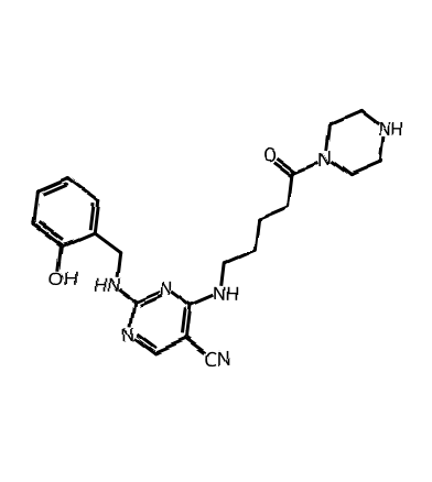 N#Cc1cnc(NCc2ccccc2O)nc1NCCCCC(=O)N1CCNCC1